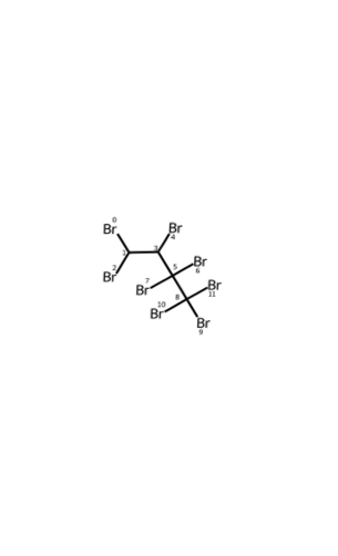 BrC(Br)C(Br)C(Br)(Br)C(Br)(Br)Br